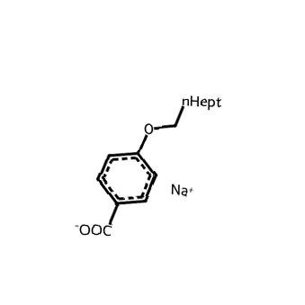 CCCCCCCCOc1ccc(C(=O)[O-])cc1.[Na+]